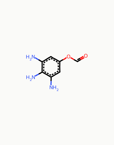 Nc1cc(OC=O)cc(N)c1N